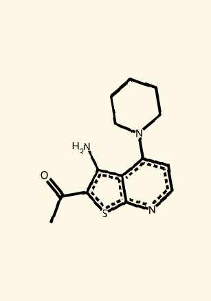 CC(=O)c1sc2nccc(N3CCCCC3)c2c1N